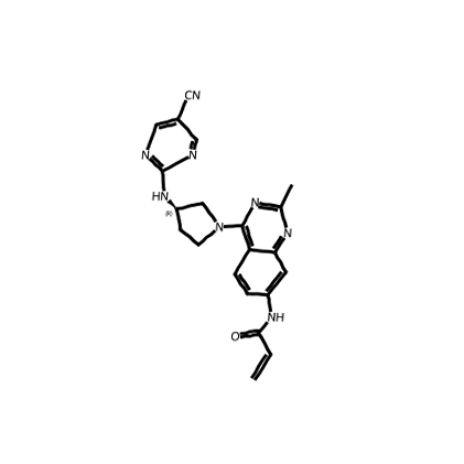 C=CC(=O)Nc1ccc2c(N3CC[C@@H](Nc4ncc(C#N)cn4)C3)nc(C)nc2c1